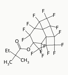 CCC(C)(C)C(=O)OC12C(F)(F)C3(F)C(F)(F)C4(F)C5(F)C(F)(F)C6(F)C(F)(C1(F)F)C56C34C2(F)F